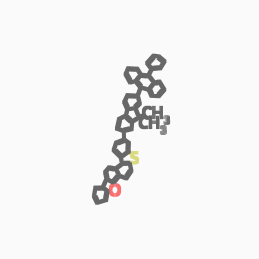 CC1(C)c2cc(-c3ccc4c(c3)sc3ccc5c(ccc6c7ccccc7oc65)c34)ccc2-c2ccc(-c3c4ccccc4c(-c4ccccc4)c4ccccc34)cc21